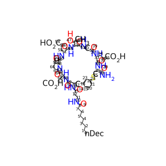 CCCCCCCCCCCCCCCCCC(=O)NCCC(=O)N[C@H]1Cc2cccc(c2)SC[C@@H](C(N)=O)NC(=O)[C@H](CCC(=O)O)NC(=O)CNC(=O)[C@H]([C@H](C)O)NC(=O)[C@H](CCC(=O)O)NC(=O)[C@@H]2CCCN2C(=O)[C@H](CC(=O)O)NC1=O